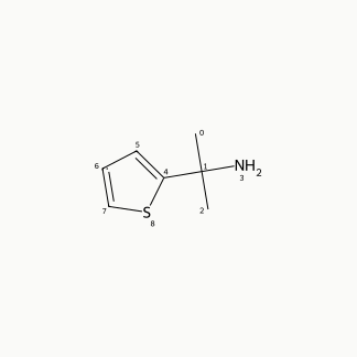 CC(C)(N)c1c[c]cs1